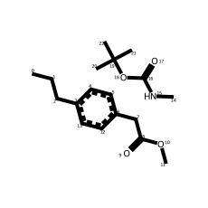 CCCc1ccc(CC(=O)OC)cc1.CNC(=O)OC(C)(C)C